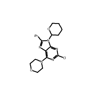 CC(C)c1nc2c(N3CCOCC3)nc(Cl)nc2n1C1CCCCO1